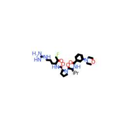 CC(C)C(NC(=O)c1cccc(N2CCOCC2)c1)C(=O)N1CCC[C@H]1C(=O)NC(CCCNC(=N)N)C(=O)CF